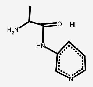 CC(N)C(=O)Nc1cccnc1.I